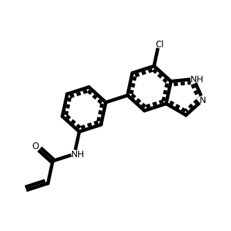 C=CC(=O)Nc1cccc(-c2cc(Cl)c3[nH]ncc3c2)c1